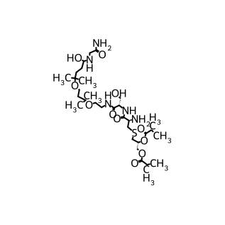 CC(C)C(=O)OC[C@H](CSC[C@H](N)C(=O)N[C@@H](CO)C(=O)NCCOC(C)(C)CCOC(C)(C)CCC(O)NCC(N)=O)OC(=O)C(C)C